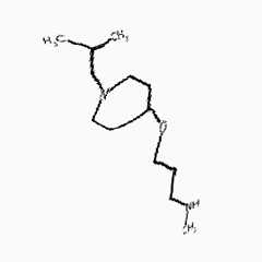 CNCCCOC1CCN(CC(C)C)CC1